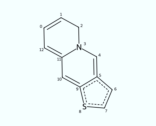 C1=CCN2C=c3ccsc3=CC2=C1